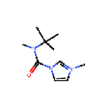 CN(C(=O)n1cc[n+](C)c1)C(C)(C)C